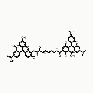 CN(C)c1ccc2c(-c3c(Cl)cc(C(=O)NC/C=C/C=C/C(=O)NCc4c5oc6cc(O)ccc6c(-c6ccc(C(=O)O)cc6C(=O)O)c-5ccc4=O)c(Cl)c3C(=O)O)c3ccc(=[N+](C)C)cc-3oc2c1